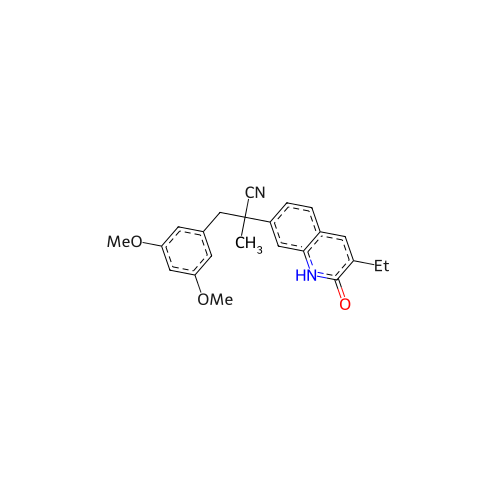 CCc1cc2ccc(C(C)(C#N)Cc3cc(OC)cc(OC)c3)cc2[nH]c1=O